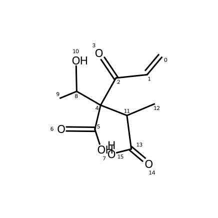 C=CC(=O)C(C(=O)O)(C(C)O)C(C)C(=O)O